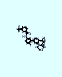 Cc1ccc(NC(=O)c2ccnc(C(C)(F)F)c2)cc1-c1cnc2c(c1)N1CCOC[C@@H]1C(F)(F)[C@@H]2O